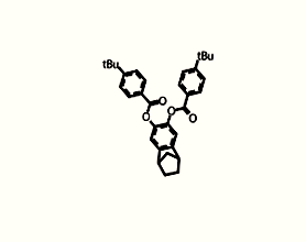 CC(C)(C)c1ccc(C(=O)Oc2cc3c(cc2OC(=O)c2ccc(C(C)(C)C)cc2)C2CCC3C2)cc1